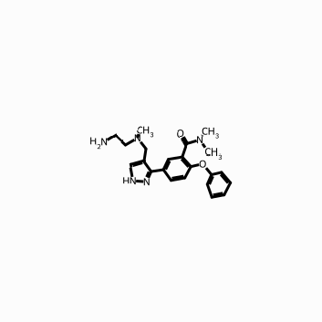 CN(CCN)Cc1c[nH]nc1-c1ccc(Oc2ccccc2)c(C(=O)N(C)C)c1